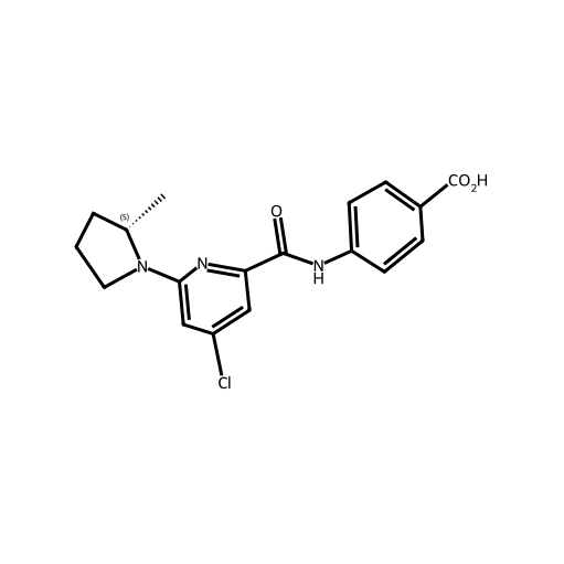 C[C@H]1CCCN1c1cc(Cl)cc(C(=O)Nc2ccc(C(=O)O)cc2)n1